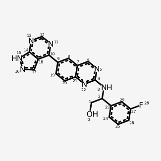 OCC(Nc1ncc2cc(-c3ncnc4[nH]ncc34)ccc2n1)c1cccc(F)c1